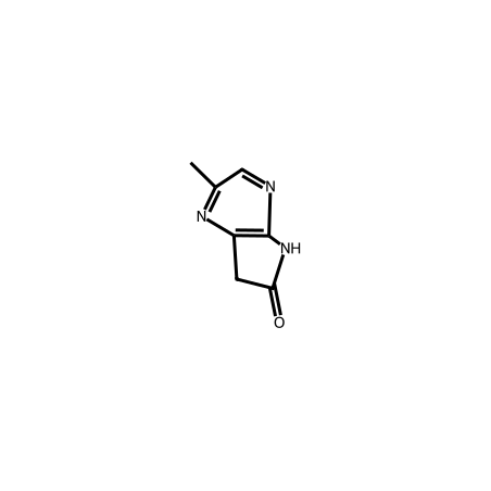 Cc1cnc2c(n1)CC(=O)N2